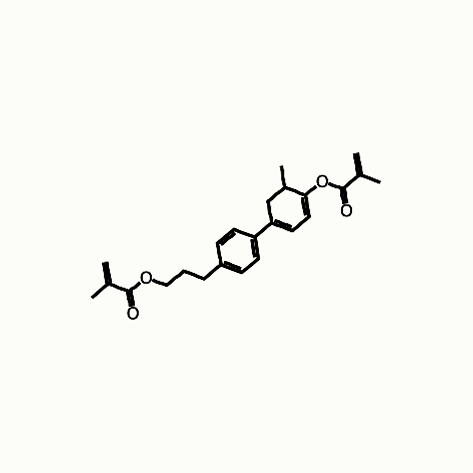 C=C(C)C(=O)OCCCc1ccc(C2=CC=C(OC(=O)C(=C)C)C(C)C2)cc1